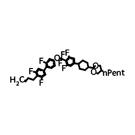 C=CCCc1c(F)cc(-c2ccc(OC(F)(F)c3c(F)cc(C4CCC(C5OCC(CCCCC)CO5)CC4)cc3F)cc2F)cc1F